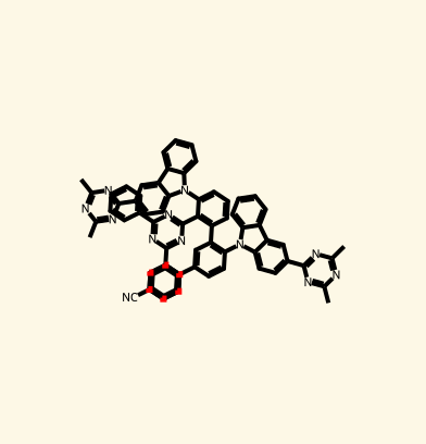 Cc1nc(C)nc(-c2ccc3c(c2)c2ccccc2n3-c2ccc(-c3ccc(C#N)cc3)cc2-c2cccc(-n3c4ccccc4c4cc(-c5nc(C)nc(C)n5)ccc43)c2-c2nc(-c3ccccc3)nc(-c3ccccc3)n2)n1